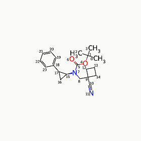 CC(C)(C)OC(=O)N(CC1(C#N)CCC1)[C@H]1CC1c1ccccc1